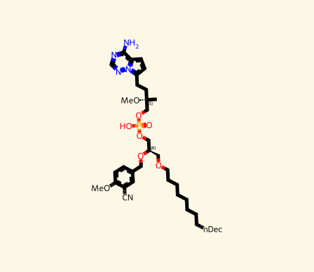 CCCCCCCCCCCCCCCCCCOC[C@H](COP(=O)(O)OC[C@](C)(CCc1ccc2c(N)ncnn12)OC)OCc1ccc(OC)c(C#N)c1